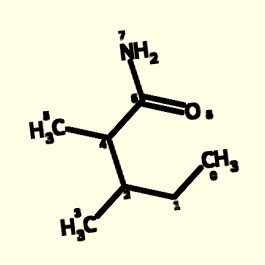 CCC(C)C(C)C(N)=O